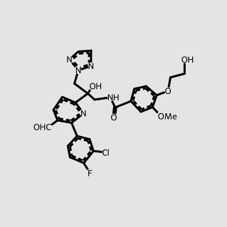 COc1cc(C(=O)NCC(O)(Cn2nccn2)c2ccc(C=O)c(-c3ccc(F)c(Cl)c3)n2)ccc1OCCO